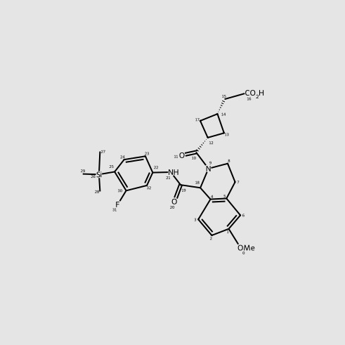 COc1ccc2c(c1)CCN(C(=O)[C@H]1C[C@@H](CC(=O)O)C1)C2C(=O)Nc1ccc([Si](C)(C)C)c(F)c1